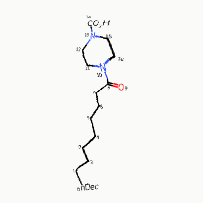 CCCCCCCCCCCCCCCCCC(=O)N1CCN(C(=O)O)CC1